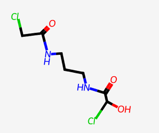 O=C(CCl)NCCCNC(=O)C(O)Cl